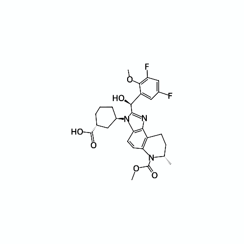 COC(=O)N1c2ccc3c(nc([C@@H](O)c4cc(F)cc(F)c4OC)n3[C@@H]3CCC[C@@H](C(=O)O)C3)c2CC[C@@H]1C